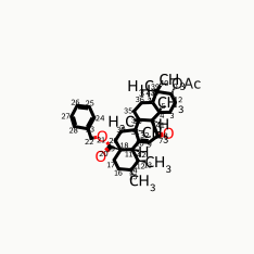 CC(=O)O[C@@H]1CC[C@]2(C)[C@H]3C(=O)C=C4[C@@H]5[C@@H](C)[C@H](C)CC[C@]5(C(=O)OCc5ccccc5)CC[C@@]4(C)[C@]3(C)CC[C@H]2C1(C)C